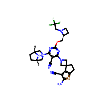 N#Cc1c(N2C[C@H]3CC[C@@H](C2)N3)nc(OC[C@@H]2CCN2CC(F)(F)F)nc1N1CC2(CCc3sc(N)c(C#N)c32)C1